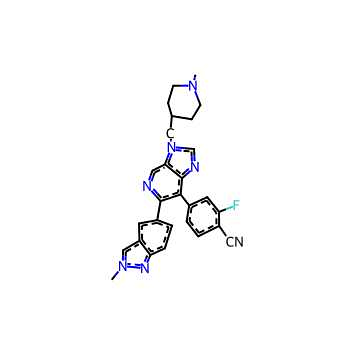 CN1CCC(Cn2cnc3c(-c4ccc(C#N)c(F)c4)c(-c4ccc5nn(C)cc5c4)ncc32)CC1